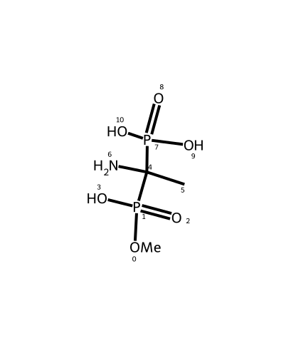 COP(=O)(O)C(C)(N)P(=O)(O)O